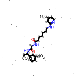 Cc1ccnc(NCCCCCCC(=O)NCC(=O)NC(CC(=O)O)c2cccc([N+](=O)[O-])c2)c1